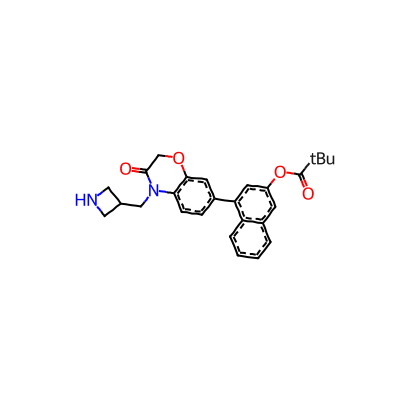 CC(C)(C)C(=O)Oc1cc(-c2ccc3c(c2)OCC(=O)N3CC2CNC2)c2ccccc2c1